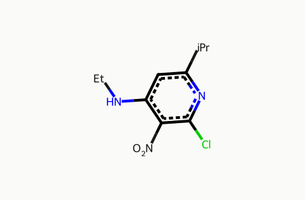 CCNc1cc(C(C)C)nc(Cl)c1[N+](=O)[O-]